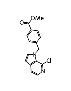 COC(=O)c1ccc(Cn2ccc3ccnc(Cl)c32)cc1